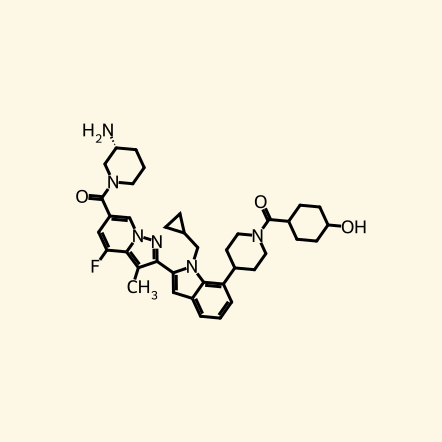 Cc1c(-c2cc3cccc(C4CCN(C(=O)C5CCC(O)CC5)CC4)c3n2CC2CC2)nn2cc(C(=O)N3CCC[C@@H](N)C3)cc(F)c12